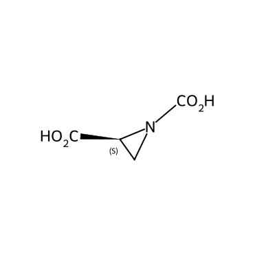 O=C(O)[C@@H]1CN1C(=O)O